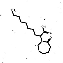 CCCCCCCCC(C(=O)O)N1CCCCCC1=O